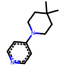 CC1(C)CCN(c2ccncc2)CC1